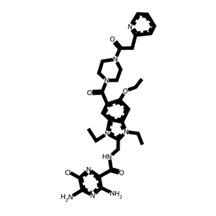 CCOc1cc2c(cc1C(=O)N1CCN(C(=O)Cc3ccccn3)CC1)[n+](CC)c(CNC(=O)c1nc(Cl)c(N)nc1N)n2CC